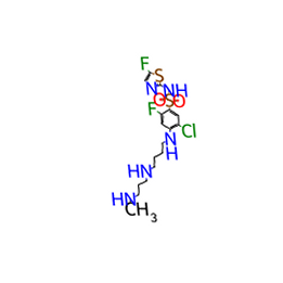 CNCCCNCCCCNc1cc(F)c(S(=O)(=O)Nc2ncc(F)s2)cc1Cl